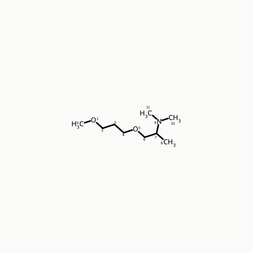 COCCCOCC(C)N(C)C